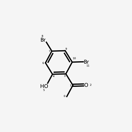 CC(=O)c1c(O)cc(Br)cc1Br